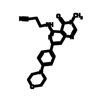 Cn1cnc2cc(-c3ccc(N4CCOCC4)cc3)nc(NCCC#N)c2c1=O